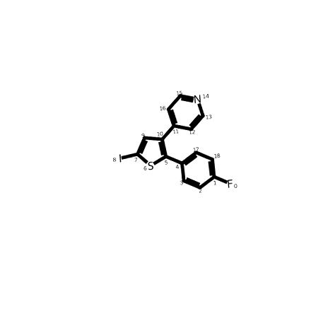 Fc1ccc(-c2sc(I)cc2-c2ccncc2)cc1